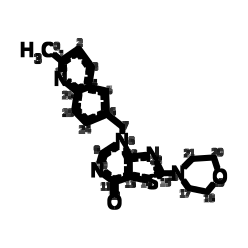 Cc1ccc2cc(Cn3cnc(=O)c4sc(N5CCOCC5)nc43)ccc2n1